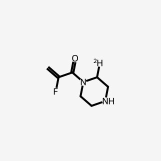 [2H]C1CNCCN1C(=O)C(=C)F